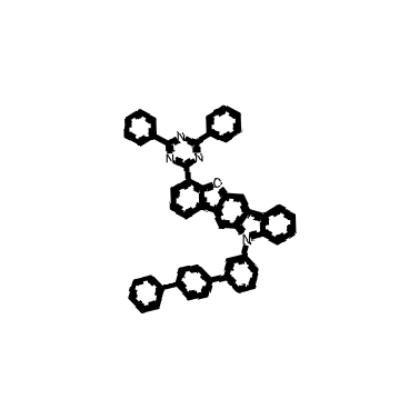 c1ccc(-c2ccc(-c3cccc(-n4c5ccccc5c5cc6oc7c(-c8nc(-c9ccccc9)nc(-c9ccccc9)n8)cccc7c6cc54)c3)cc2)cc1